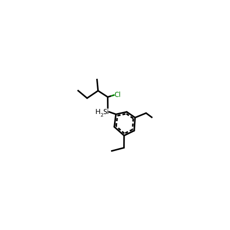 CCc1cc(CC)cc([SiH2]C(Cl)C(C)CC)c1